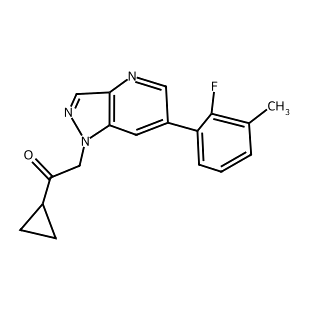 Cc1cccc(-c2cnc3cnn(CC(=O)C4CC4)c3c2)c1F